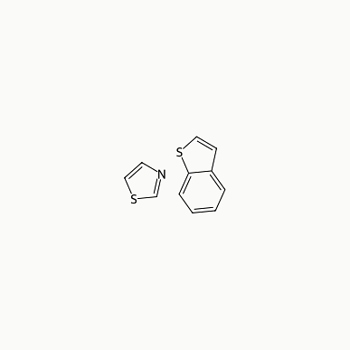 c1ccc2sccc2c1.c1cscn1